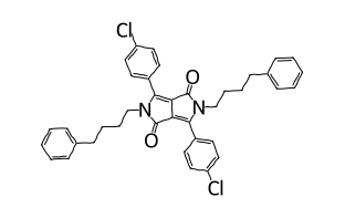 O=C1C2=C(c3ccc(Cl)cc3)N(CCCCc3ccccc3)C(=O)C2=C(c2ccc(Cl)cc2)N1CCCCc1ccccc1